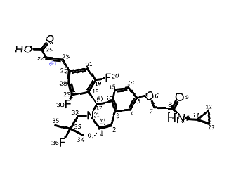 C[C@H]1Cc2cc(OCC(=O)NC3CC3)ccc2[C@H](c2c(F)cc(/C=C/C(=O)O)cc2F)N1CC(C)(C)F